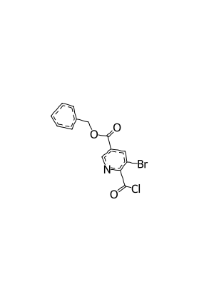 O=C(OCc1ccccc1)c1cnc(C(=O)Cl)c(Br)c1